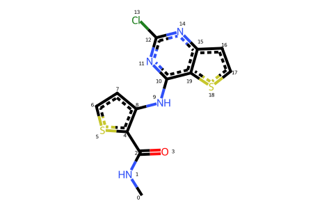 CNC(=O)c1sccc1Nc1nc(Cl)nc2ccsc12